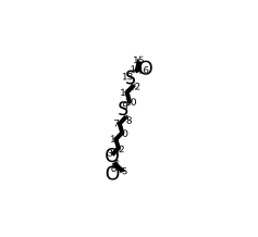 C(CCOC1CO1)CCSCCCSC1CO1